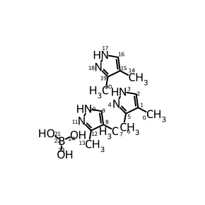 Cc1c[nH]nc1C.Cc1c[nH]nc1C.Cc1c[nH]nc1C.OB(O)O